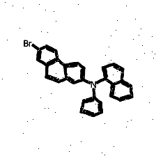 Brc1ccc2c(ccc3cc(N(c4ccccc4)c4cccc5ccccc45)ccc32)c1